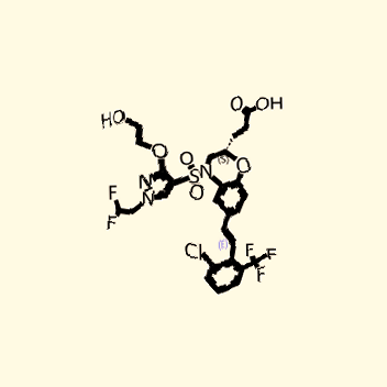 O=C(O)CC[C@H]1CN(S(=O)(=O)c2cn(CC(F)F)nc2OCCO)c2cc(/C=C/c3c(Cl)cccc3C(F)(F)F)ccc2O1